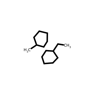 CC1CCCCC1.CCC1CCCCC1